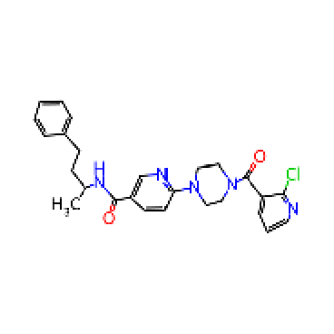 CC(CCc1ccccc1)NC(=O)c1ccc(N2CCN(C(=O)c3cccnc3Cl)CC2)nc1